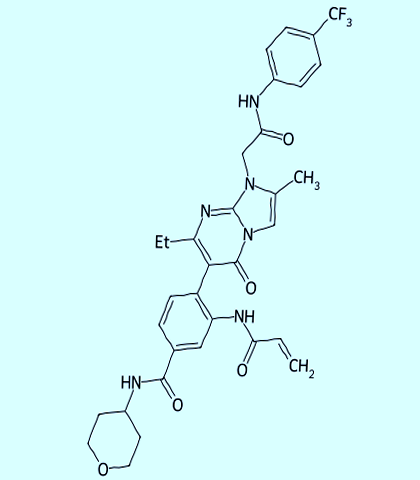 C=CC(=O)Nc1cc(C(=O)NC2CCOCC2)ccc1-c1c(CC)nc2n(CC(=O)Nc3ccc(C(F)(F)F)cc3)c(C)cn2c1=O